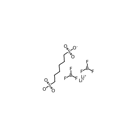 FB(F)F.FB(F)F.O=S(=O)([O-])CCCCCCS(=O)(=O)[O-].[Li+].[Li+]